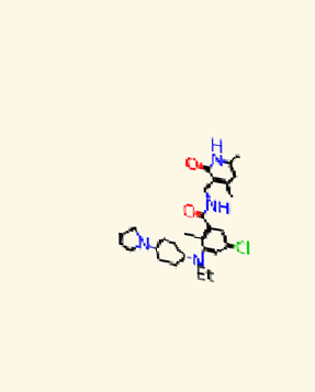 CCN(c1cc(Cl)cc(C(=O)NCc2c(C)cc(C)[nH]c2=O)c1C)[C@H]1CC[C@H](N2CCCC2)CC1